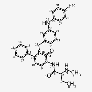 CCC(NC)C(=O)Nc1ccc(-c2ccccc2)n(Cc2cccc(Nc3ccc(F)cc3)c2)c1=O